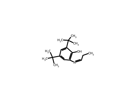 CC/C=N\c1cc(C(C)(C)C)cc(C(C)(C)C)c1O